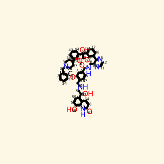 COc1cc(C(=O)NCc2nccnc2-c2cccc(C(O)(C(=O)OCC3CCN(Cc4ccccc4)CC3)c3ccccc3)c2)ccc1CNC[C@H](O)c1ccc(O)c2[nH]c(=O)ccc12